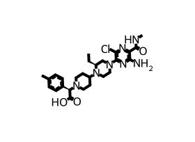 CC[C@H]1CN(c2nc(N)c(C(=O)NC)nc2Cl)CCN1C1CCN([C@@H](C(=O)O)c2ccc(C)cc2)CC1